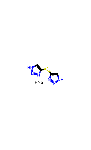 [NaH].c1[nH]nnc1Sc1c[nH]nn1